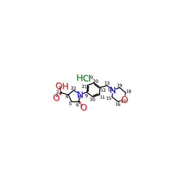 Cl.O=C(O)C1CC(=O)N(c2ccc(CN3CCOCC3)cc2)C1